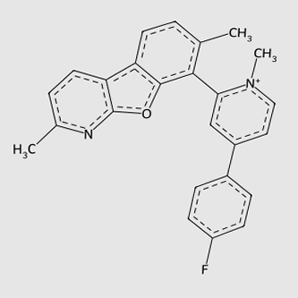 Cc1ccc2c(n1)oc1c(-c3cc(-c4ccc(F)cc4)cc[n+]3C)c(C)ccc12